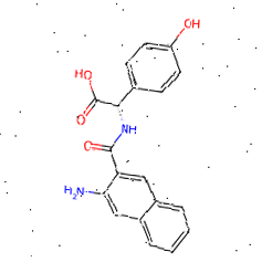 Nc1cc2ccccc2cc1C(=O)N[C@H](C(=O)O)c1ccc(O)cc1